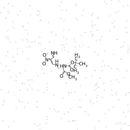 COC(=O)[C@H](CN/C=C(\C=N)[N+](=O)[O-])NC(=O)OC(C)(C)C